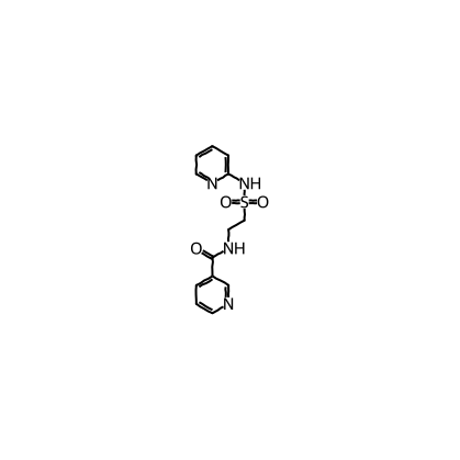 O=C(NCCS(=O)(=O)Nc1ccccn1)c1cccnc1